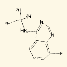 [2H]C([2H])([2H])Nc1ncnc2c(F)cccc12